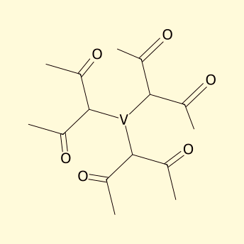 CC(=O)[CH](C(C)=O)[V]([CH](C(C)=O)C(C)=O)[CH](C(C)=O)C(C)=O